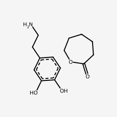 NCCc1ccc(O)c(O)c1.O=C1CCCCCO1